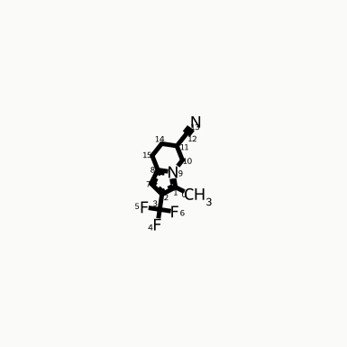 Cc1c(C(F)(F)F)cc2n1CC(C#N)CC2